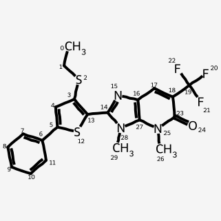 CCSc1cc(-c2ccccc2)sc1-c1nc2cc(C(F)(F)F)c(=O)n(C)c2n1C